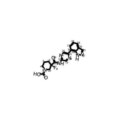 O=C(O)N1CCC[C@](F)(C(=O)Nc2cnc(-c3cccc4cn[nH]c34)cn2)C1